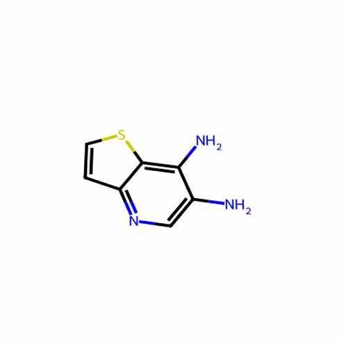 Nc1cnc2ccsc2c1N